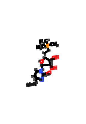 C=P(C)(C)CC[C@H]1OC(n2ccc(NC)nc2=O)[C@H](O)[C@@H]1O